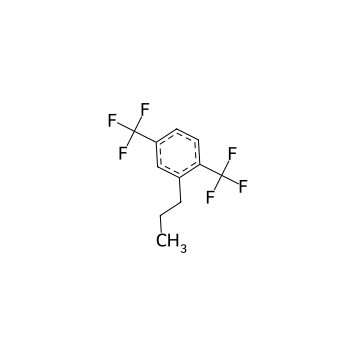 CCCc1cc(C(F)(F)F)ccc1C(F)(F)F